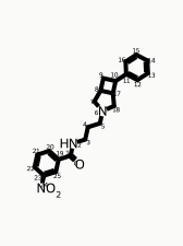 O=C(NCCCN1CC2CC(c3ccccc3)C2C1)c1cccc([N+](=O)[O-])c1